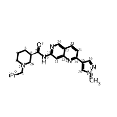 CC(C)CN1CCC[C@@H](C(=O)Nc2cc3nc(-c4cnn(C)c4)ccc3cn2)C1